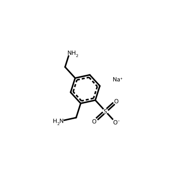 NCc1ccc(S(=O)(=O)[O-])c(CN)c1.[Na+]